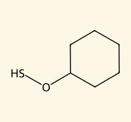 SOC1CCCCC1